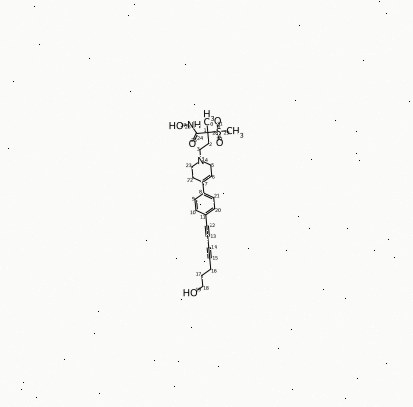 CC(CCN1CC=C(c2ccc(C#CC#CCCCO)cc2)CC1)(C(=O)NO)S(C)(=O)=O